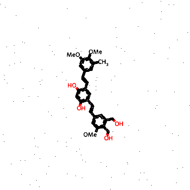 COc1cc(/C=C/c2cc(/C=C/c3cc(C)c(OC)c(OC)c3)c(O)cc2O)cc(CO)c1CO